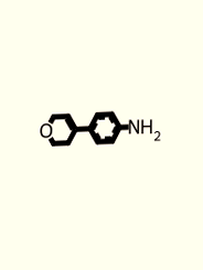 Nc1ccc(C2=CCOCC2)cc1